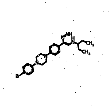 CCC(CC)N/C=C(\N=N)c1ccc(N2CCN(c3ccc(Br)cc3)CC2)cc1